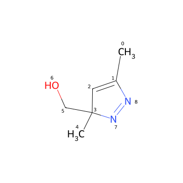 CC1=CC(C)(CO)N=N1